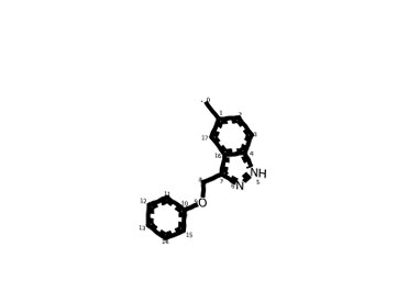 [CH2]c1ccc2[nH]nc(COc3ccccc3)c2c1